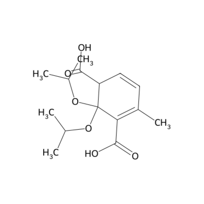 CC1=C(C(=O)O)C(OC(C)C)(OC(C)C)C(C(=O)O)C=C1